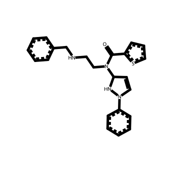 O=C(c1cccs1)N(CCNCc1ccccc1)C1C=CN(c2ccccc2)N1